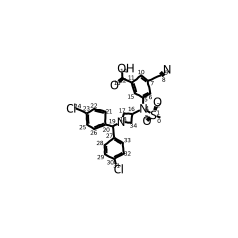 CS(=O)(=O)N(c1cc(C#N)cc(C(=O)O)c1)C1CN(C(c2ccc(Cl)cc2)c2ccc(Cl)cc2)C1